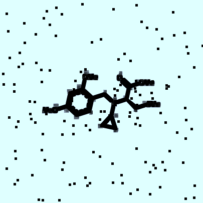 COC(=O)[C@@H](CSC)N(Cc1ccc(OC)cc1OC)C1CC1